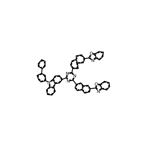 c1ccc(-c2cccc(-n3c4ccccc4c4cc(-c5nc(-c6ccc7ccc(-c8nc9ccccc9o8)cc7c6)nc(-c6ccc7ccc(-c8nc9ccccc9o8)cc7c6)n5)ccc43)c2)cc1